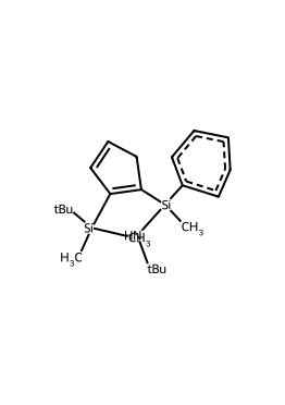 CC(C)(C)N[Si](C)(C1=C([Si](C)(C)C(C)(C)C)C=CC1)c1ccccc1